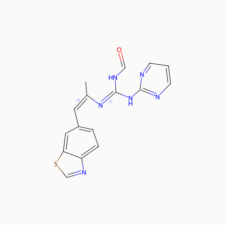 CC(=C/c1ccc2ncsc2c1)/N=C(\NC=O)Nc1ncccn1